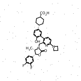 C[C@H]1[C@@H](c2ccc(F)c(F)c2)OC(=O)N1Cc1nc(N2CCC2)ccc1-c1cc([C@H]2CC[C@H](C(=O)O)CC2)ccc1O